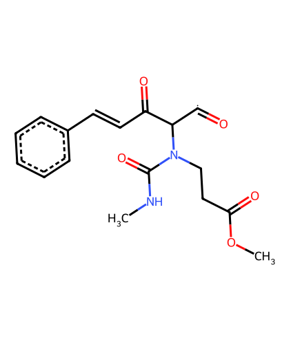 CNC(=O)N(CCC(=O)OC)C([C]=O)C(=O)C=Cc1ccccc1